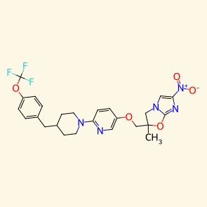 CC1(COc2ccc(N3CCC(Cc4ccc(OC(F)(F)F)cc4)CC3)nc2)Cn2cc([N+](=O)[O-])nc2O1